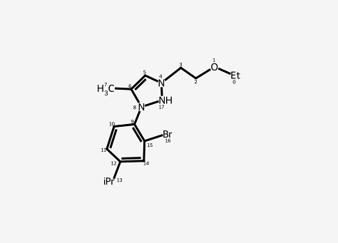 CCOCCN1C=C(C)N(c2ccc(C(C)C)cc2Br)N1